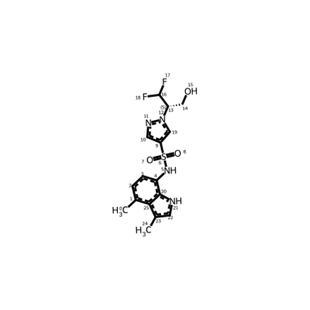 Cc1ccc(NS(=O)(=O)c2cnn([C@@H](CO)C(F)F)c2)c2[nH]cc(C)c12